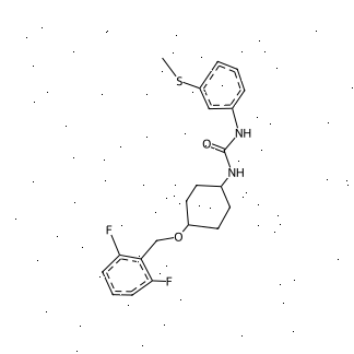 CSc1cccc(NC(=O)NC2CCC(OCc3c(F)cccc3F)CC2)c1